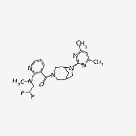 Cc1cc(C)nc(N2CC3CC2CN(C(=O)c2cccnc2N(C)CC(F)F)C3)n1